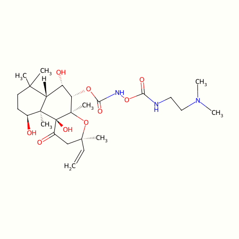 C=C[C@@]1(C)CC(=O)[C@]2(O)[C@@]3(C)[C@@H](O)CCC(C)(C)[C@@H]3[C@H](O)[C@H](OC(=O)NOC(=O)NCCN(C)C)[C@@]2(C)O1